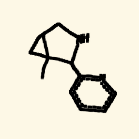 CC12CC1CNC2c1ccccn1